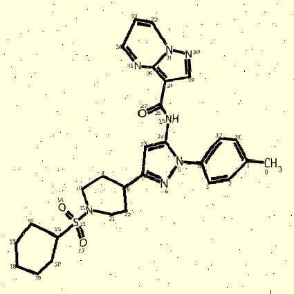 Cc1ccc(-n2nc(C3CCN(S(=O)(=O)C4CCCCC4)CC3)cc2NC(=O)c2cnn3cccnc23)cc1